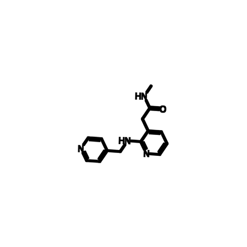 CNC(=O)Cc1cccnc1NCc1ccncc1